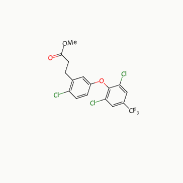 COC(=O)CCc1cc(Oc2c(Cl)cc(C(F)(F)F)cc2Cl)ccc1Cl